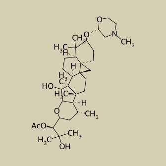 CC(=O)O[C@@H](C1C[C@@H](C)[C@H]2C(O1)C(O)[C@@]1(C)[C@H]3CC[C@H]4C(C)(C)[C@@H](O[C@H]5CN(C)CCO5)CC[C@@]45C[C@@]35CC[C@]21C)C(C)(C)O